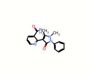 Cc1c(-c2ncccc2C(N)=O)c(=O)n(-c2ccccc2)n1C